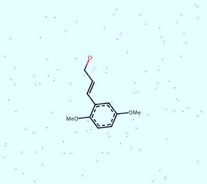 COc1ccc(OC)c(C=CC[O])c1